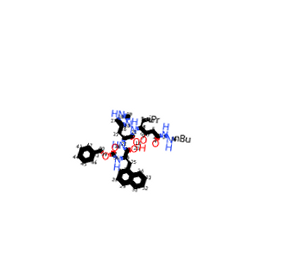 CCCCNNC(=O)C[C@H](O)[C@H](CC(C)C)NC(=O)[C@H](Cc1c[nH]cn1)NC(=O)[C@@H](Cc1cccc2ccccc12)NC(=O)OCc1ccccc1